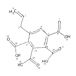 C=CCc1cc(C(=O)O)c(C(=O)O)c(C(=O)O)c1C(=O)O